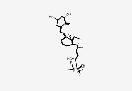 C=C1/C(=C\C=C2/CCC[C@]3(C)[C@@H]([C@@H](C)/C=C/[C@@H](O)C(O)(C(F)(F)F)C(F)(F)F)CC[C@@H]23)C[C@@H](O)C[C@@H]1O